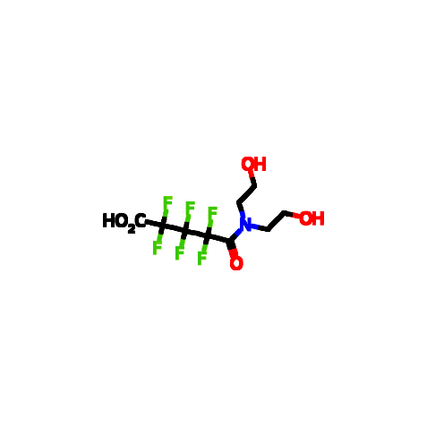 O=C(O)C(F)(F)C(F)(F)C(F)(F)C(=O)N(CCO)CCO